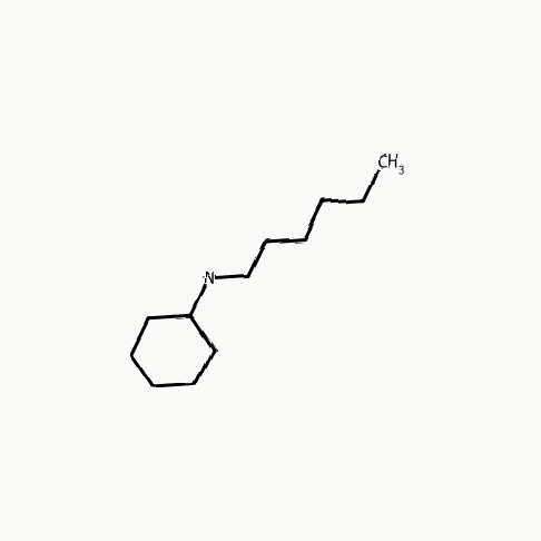 CCCCCC[N]C1CCCCC1